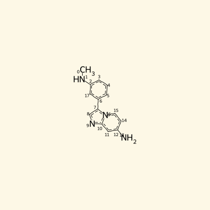 CNc1cccc(-c2cnc3cc(N)ccn23)c1